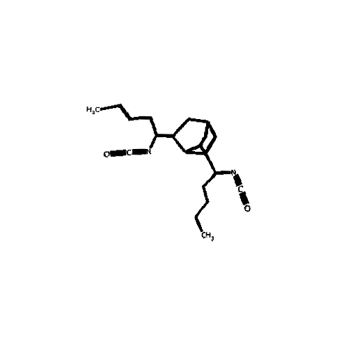 CCCCC(N=C=O)C1CC2CCC1C(C(CCCC)N=C=O)C2